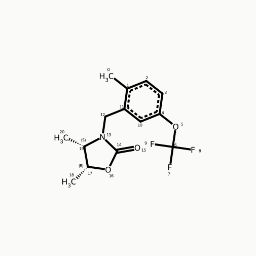 Cc1ccc(OC(F)(F)F)cc1CN1C(=O)O[C@H](C)[C@@H]1C